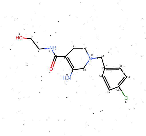 NC1=C(C(=O)NCCO)CCN(Cc2ccc(Cl)cc2)C1